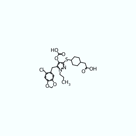 CCCn1nc(SC2CCC(CC(=O)O)CC2)c(OC(=O)O)c1Cc1cc2c(cc1Cl)OCO2